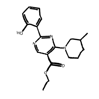 CCOC(=O)c1cnc(-c2ccccc2O)nc1N1CCCC(C)C1